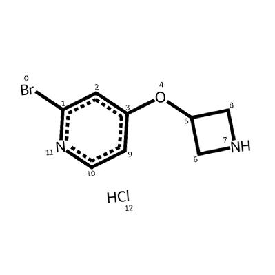 Brc1cc(OC2CNC2)ccn1.Cl